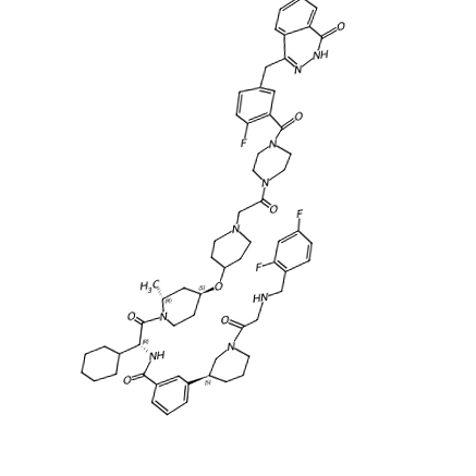 C[C@@H]1C[C@@H](OC2CCN(CC(=O)N3CCN(C(=O)c4cc(Cc5n[nH]c(=O)c6ccccc56)ccc4F)CC3)CC2)CCN1C(=O)[C@H](NC(=O)c1cccc([C@@H]2CCCN(C(=O)CNCc3ccc(F)cc3F)C2)c1)C1CCCCC1